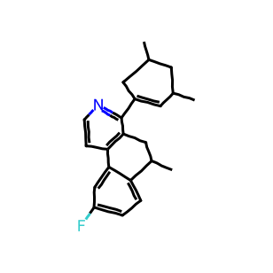 CC1C=C(c2nccc3c2CC(C)c2ccc(F)cc2-3)CC(C)C1